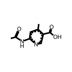 CC(=O)Nc1cc(C)c(C(=O)O)cn1